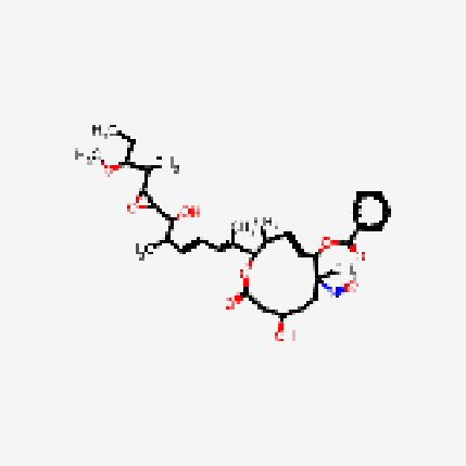 CCC(OC)C(C)C1OC1[C@@H](O)C(C)/C=C/C=C(\C)C1OC(=O)CC(O)CCC(C)(N=O)C(OC(=O)c2ccccc2)/C=C/C1C